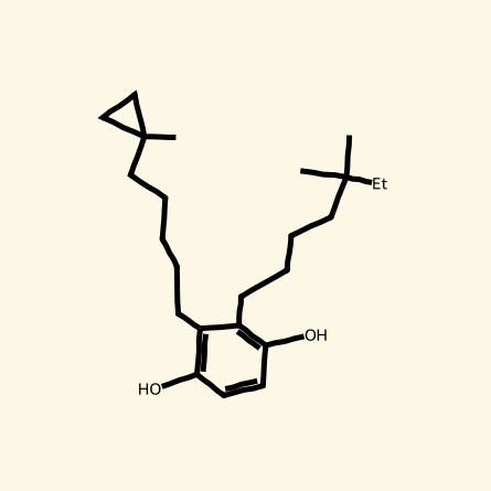 CCC(C)(C)CCCCc1c(O)ccc(O)c1CCCCCC1(C)CC1